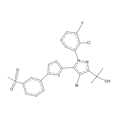 CC(C)(O)c1nn(-c2cccc(F)c2Cl)c(-c2ccc(-c3cccc(S(C)(=O)=O)c3)s2)c1Br